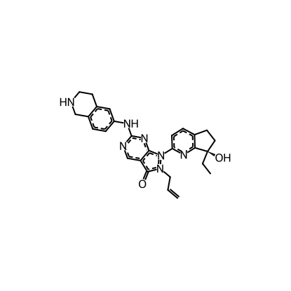 C=CCn1c(=O)c2cnc(Nc3ccc4c(c3)CCNC4)nc2n1-c1ccc2c(n1)[C@@](O)(CC)CC2